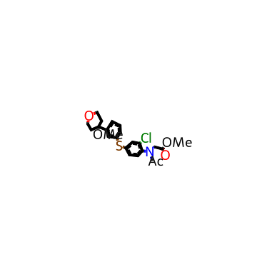 COC(=O)CN(C(C)=O)c1ccc(Sc2cccc(C3(OC)CCOCC3)c2)cc1Cl